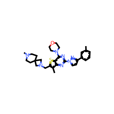 Cc1cccc(-c2ccn(-c3nc(N4CCOCC4)c4sc(CN5CC6(CCN(C)CC6)C5)c(C)c4n3)n2)c1